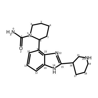 NC(=O)N1CCCCC1c1cccc2[nH]c(C3CCCNC3)nc12